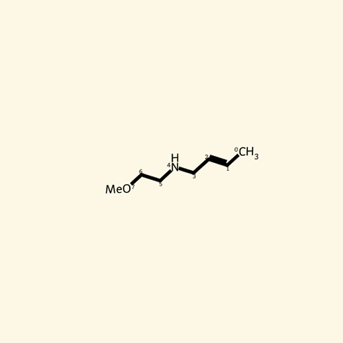 CC=CCNCCOC